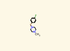 CN1CCN(Sc2ccc(F)cc2)CC1